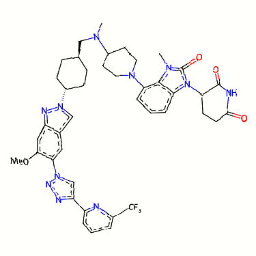 COc1cc2nn([C@H]3CC[C@H](CN(C)C4CCN(c5cccc6c5n(C)c(=O)n6C5CCC(=O)NC5=O)CC4)CC3)cc2cc1-n1cc(-c2cccc(C(F)(F)F)n2)nn1